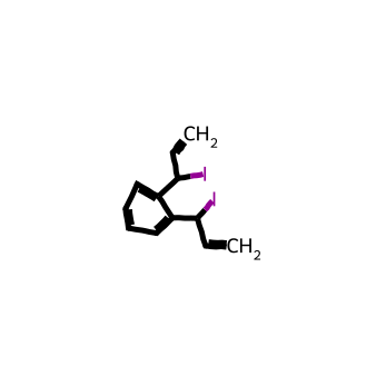 C=CC(I)c1ccccc1C(I)C=C